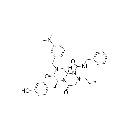 C=CCN1CC(=O)N2[C@@H](Cc3ccc(O)cc3)C(=O)N(Cc3cccc(N(C)C)c3)C[C@@H]2N1C(=O)NCc1ccccc1